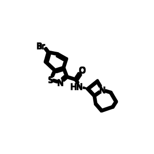 O=C(N[C@@H]1CN2CCCCCC12)c1nsc2cc(Br)ccc12